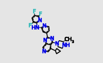 C[C@H]1CN(c2nc(-c3ccnc(Nc4nc(F)c(F)cc4F)c3)nc3cncc(C4CCC4)c23)CCN1